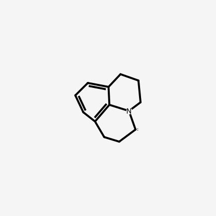 [C]1CCc2cccc3c2N1CCC3